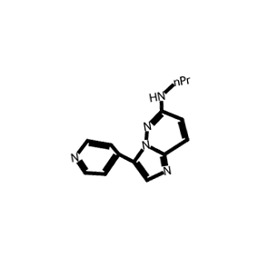 CCCNc1ccc2ncc(-c3ccncc3)n2n1